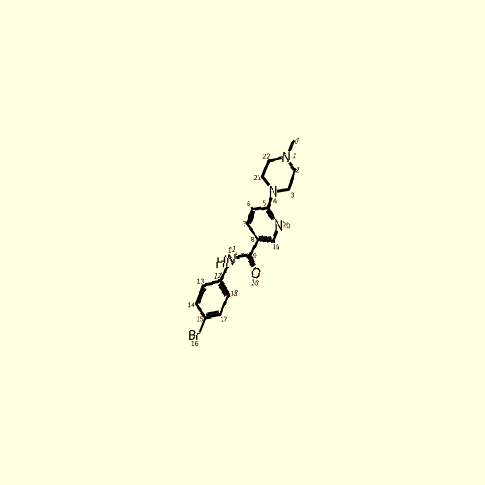 CN1CCN(c2ccc(C(=O)Nc3ccc(Br)cc3)cn2)CC1